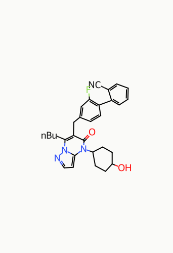 CCCCc1c(Cc2ccc(-c3ccccc3C#N)c(F)c2)c(=O)n(C2CCC(O)CC2)c2ccnn12